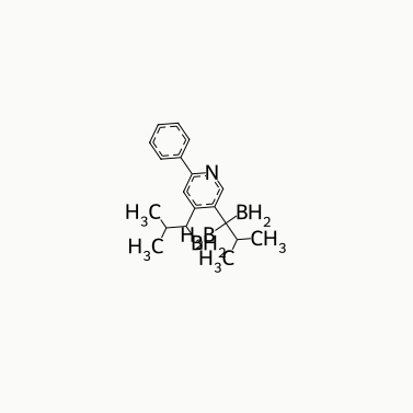 BC(c1cc(-c2ccccc2)ncc1C(B)(B)C(C)C)C(C)C